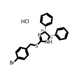 Brc1ccc(CSC2=N[C@H](c3ccccc3)[C@H](c3ccccc3)N2)cc1.Cl